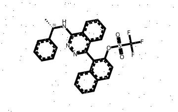 C[C@H](Nc1nnc(-c2c(OS(=O)(=O)C(F)(F)F)ccc3ccccc23)c2ccccc12)c1ccccc1